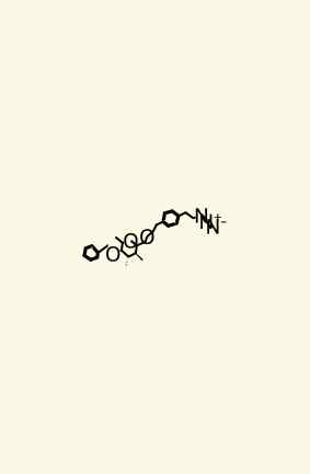 CC1OC(COCCc2ccc(CCN=[N+]=[N-])cc2)[C@@H](C)[C@H](C)C1OCc1ccccc1